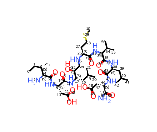 CC[C@H](C)[C@H](N)C(=O)N[C@@H](CC(=O)O)C(=O)N[C@@H](CC(C)C)[C@@H](O)CN[C@@H](CCSC)C(=O)N[C@H](C(=O)N[C@@H](CC(C)C)C(=O)N[C@@H](CC(=O)O)C(N)=O)C(C)C